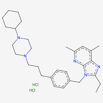 CCc1nc2c(C)cc(C)nc2n1Cc1ccc(CCCN2CCN(C3CCCCC3)CC2)cc1.Cl.Cl